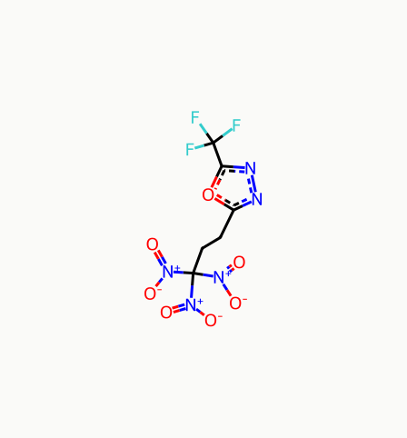 O=[N+]([O-])C(CCc1nnc(C(F)(F)F)o1)([N+](=O)[O-])[N+](=O)[O-]